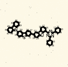 c1ccc(-c2nc(-c3ccccc3)nc(-c3cccc4c3oc3ccc(-c5ccc6c(c5)sc5ccc(-n7c8ccccc8c8ccccc87)cc56)cc34)n2)cc1